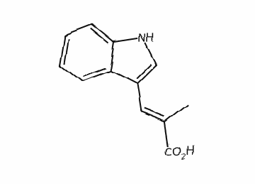 CC(=Cc1c[nH]c2ccccc12)C(=O)O